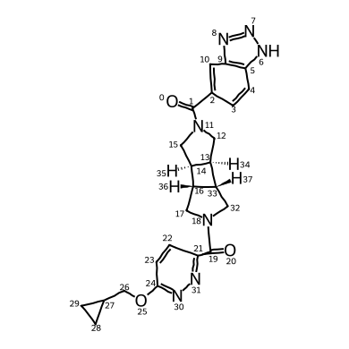 O=C(c1ccc2[nH]nnc2c1)N1C[C@@H]2[C@H](C1)[C@H]1CN(C(=O)c3ccc(OCC4CC4)nn3)C[C@@H]21